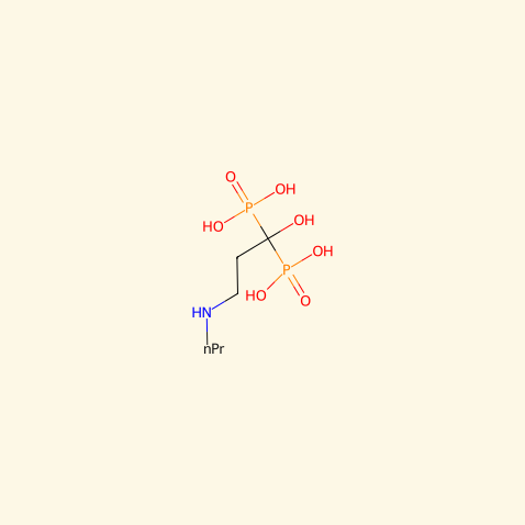 CCCNCCC(O)(P(=O)(O)O)P(=O)(O)O